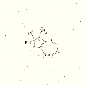 CCC1(C(C)C)CC2=C(C=CC=C=N2)[C@H]1N